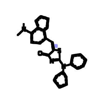 CN(C)c1ccc(/C=C2/SC(N(c3ccccc3)c3ccccc3)=NC2=O)c2ccccc12